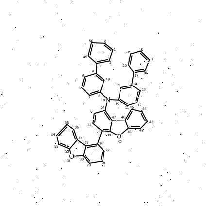 c1ccc(-c2cccc(N(c3cccc(-c4ccccc4)c3)c3ccc(-c4cccc5oc6ccccc6c45)c4oc5ccccc5c34)c2)cc1